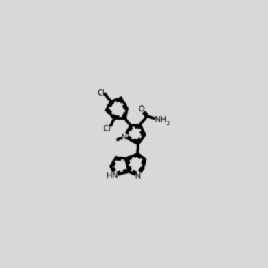 Cn1c(-c2ccnc3[nH]ccc23)cc(C(N)=O)c1-c1ccc(Cl)cc1Cl